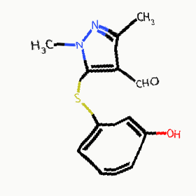 Cc1nn(C)c(Sc2cccc(O)c2)c1C=O